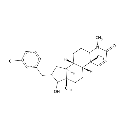 CN1C(=O)C=C[C@@]2(C)C1CC[C@@H]1[C@H]2CC[C@]2(C)C(O)C(Cc3cccc(Cl)c3)C[C@@H]12